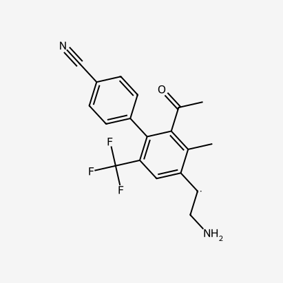 CC(=O)c1c(C)c([CH]CN)cc(C(F)(F)F)c1-c1ccc(C#N)cc1